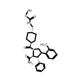 CC(C)(C)OC(=O)NC[C@H]1CC[C@H](C(=O)N2CC(c3ccccc3C(=O)O)[C@H](c3ccccc3)[C@H]2C(N)=O)CC1